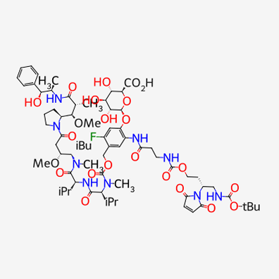 CC[C@H](C)[C@H]([C@@H](CC(=O)N1CCC[C@H]1[C@H](OC)[C@@H](C)C(=O)N[C@H](C)[C@@H](O)c1ccccc1)OC)N(C)C(=O)[C@@H](NC(=O)[C@H](C(C)C)N(C)C(=O)OCc1cc(NC(=O)CCNC(=O)OCC[C@H](CNC(=O)OC(C)(C)C)N2C(=O)C=CC2=O)c(O[C@@H]2O[C@H](C(=O)O)[C@@H](O)[C@H](O)[C@H]2O)cc1F)C(C)C